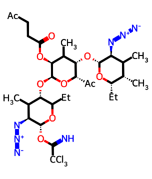 CCC1O[C@H](OC(=N)C(Cl)(Cl)Cl)[C@@H](N=[N+]=[N-])C(C)[C@@H]1O[C@@H]1O[C@@H](C(C)=O)[C@@H](O[C@H]2O[C@@H](CC)[C@@H](C)C(C)[C@@H]2N=[N+]=[N-])C(C)[C@@H]1OC(=O)CCC(C)=O